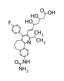 CC(C)c1nc2c(c(-c3ccc(F)cc3)c1/C=C/[C@@H](O)C[C@@H](O)CC(=O)O)CCCc1cc(NC(N)=O)ccc1-2